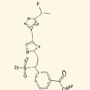 CCS(=O)(=O)C(Cc1ncc(-c2nnc(C(C)F)o2)s1)c1cccc(C(=O)OC)c1